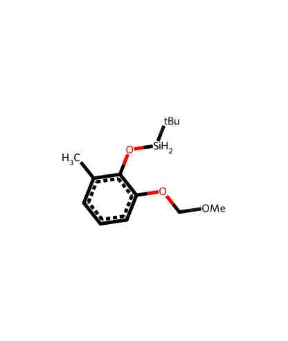 COCOc1cccc(C)c1O[SiH2]C(C)(C)C